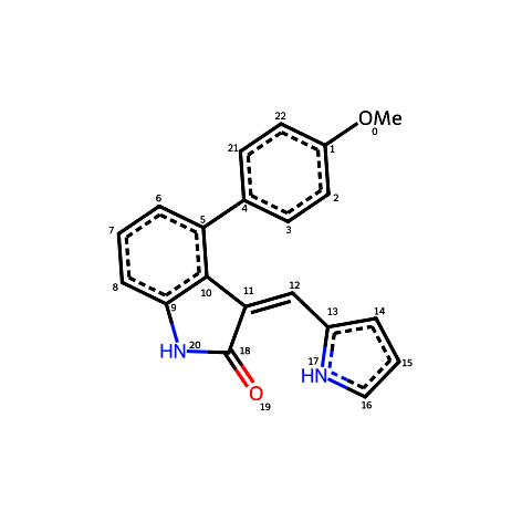 COc1ccc(-c2cccc3c2/C(=C/c2ccc[nH]2)C(=O)N3)cc1